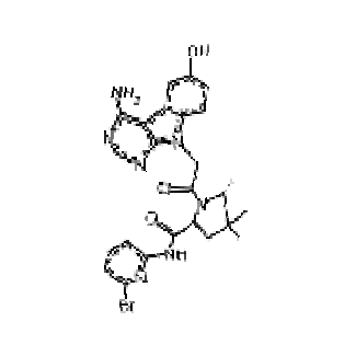 C[C@H]1N(C(=O)Cn2c3ccc(O)cc3c3c(N)ncnc32)[C@H](C(=O)Nc2cccc(Br)n2)CC1(C)C